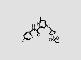 CCS(=O)(=O)N1CC(Oc2cc(C)nc(C(=O)Nc3ccc(F)cn3)c2)C1